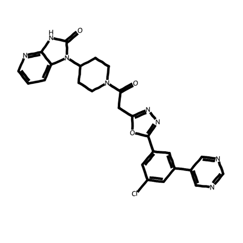 O=C(Cc1nnc(-c2cc(Cl)cc(-c3cncnc3)c2)o1)N1CCC(n2c(=O)[nH]c3ncccc32)CC1